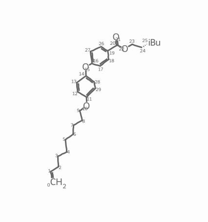 C=CCCCCCCCCOc1ccc(Oc2ccc(C(=O)OCC[C@@H](C)CC)cc2)cc1